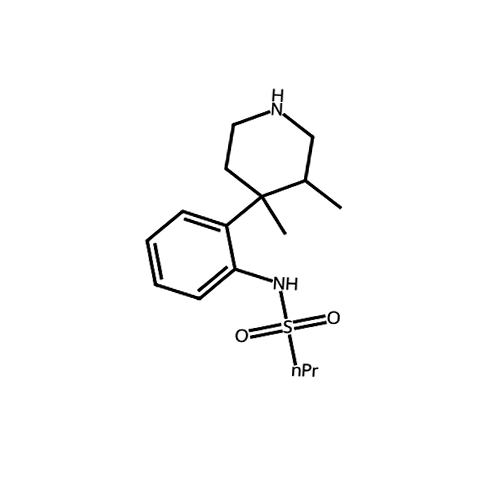 CCCS(=O)(=O)Nc1ccccc1C1(C)CCNCC1C